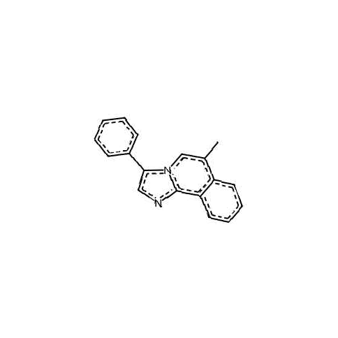 Cc1cn2c(-c3ccccc3)cnc2c2ccccc12